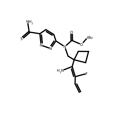 C=C/C(F)=C(\N)C1(CN(C(=O)OC(C)(C)C)c2ccc(C(N)=S)nn2)CCC1